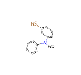 O=NN(c1ccccc1)c1cccc(S)c1